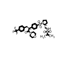 C=C(C)S(=O)(=O)NC[C@H]1CCCN1S(=O)(=O)c1ccc([C@H](Cc2ccc(C(F)(F)F)cc2)C(=O)N2CCOCC2)cc1